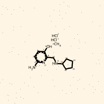 C.Cl.Cl.Nc1ccc(O)c(CNC2CCCC2)n1